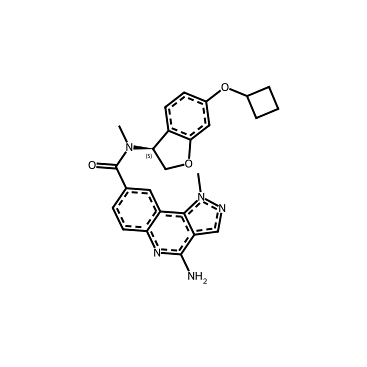 CN(C(=O)c1ccc2nc(N)c3cnn(C)c3c2c1)[C@@H]1COc2cc(OC3CCC3)ccc21